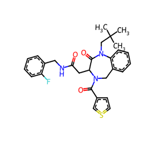 CC(C)(C)CN1C(=O)C(CC(=O)NCc2ccccc2F)N(C(=O)c2ccsc2)Cc2ccccc21